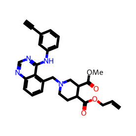 C#Cc1cccc(Nc2ncnc3cccc(CN4CCC(C(=O)OCC=C)C(C(=O)OC)C4)c23)c1